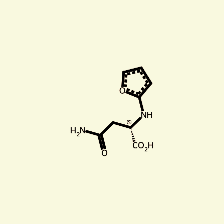 NC(=O)C[C@H](Nc1ccco1)C(=O)O